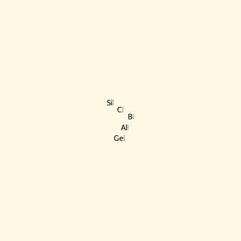 [Al].[B].[C].[Ge].[Si]